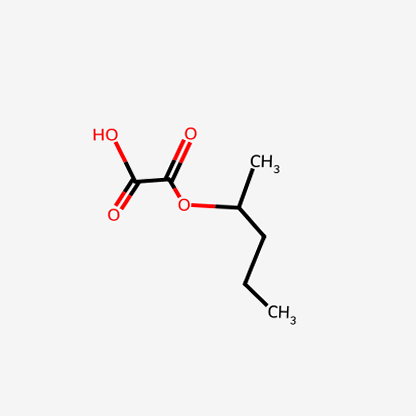 CCCC(C)OC(=O)C(=O)O